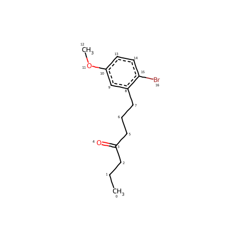 CCCC(=O)CCCc1cc(OC)ccc1Br